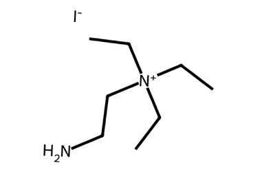 CC[N+](CC)(CC)CCN.[I-]